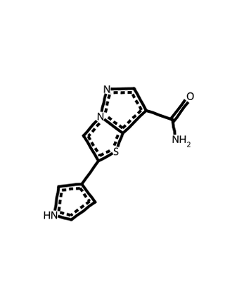 NC(=O)c1cnn2cc(-c3cc[nH]c3)sc12